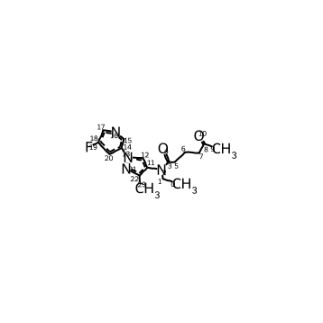 CCN(C(=O)CCCC(C)=O)c1cn(-c2cncc(F)c2)nc1C